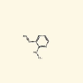 N=Nc1cccnc1NO